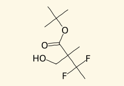 CC(C)(C)OC(=O)C(C)(CO)C(C)(F)F